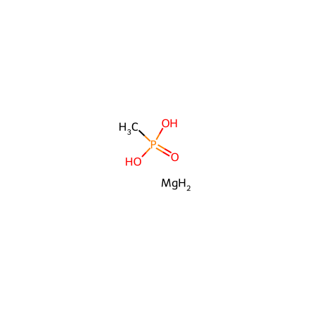 CP(=O)(O)O.[MgH2]